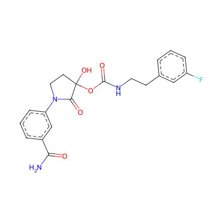 NC(=O)c1cccc(N2CCC(O)(OC(=O)NCCc3cccc(F)c3)C2=O)c1